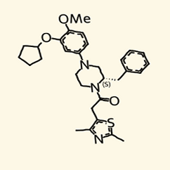 COc1ccc(N2CCN(C(=O)Cc3sc(C)nc3C)[C@@H](Cc3ccccc3)C2)cc1OC1CCCC1